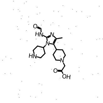 Cc1nc(NC=O)n(C2CCNCC2)c1C1CCN(CC(=O)O)CC1